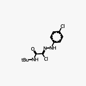 CC(C)(C)NC(=O)C(Cl)=NNc1ccc(Cl)cc1